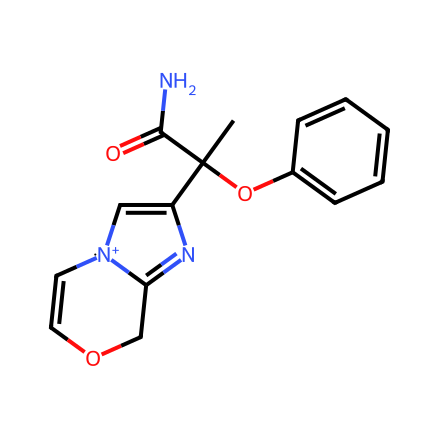 CC(Oc1ccccc1)(C(N)=O)C1=C[N+]2C=COCC2=N1